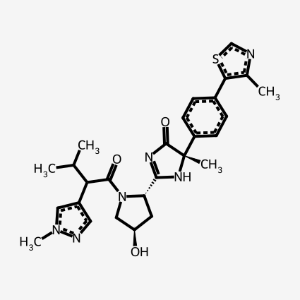 Cc1ncsc1-c1ccc([C@]2(C)NC([C@@H]3C[C@@H](O)CN3C(=O)C(c3cnn(C)c3)C(C)C)=NC2=O)cc1